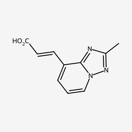 Cc1nc2c(C=CC(=O)O)cccn2n1